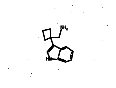 NCC1(c2c[nH]c3ccccc23)CCC1